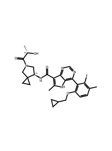 Cc1ccc(OCC2CC2)c(-c2ncnc3c(C(=O)N[C@@H]4CN(C(=O)[C@H](C)O)CC45CC5)c(C)[nH]c23)c1F